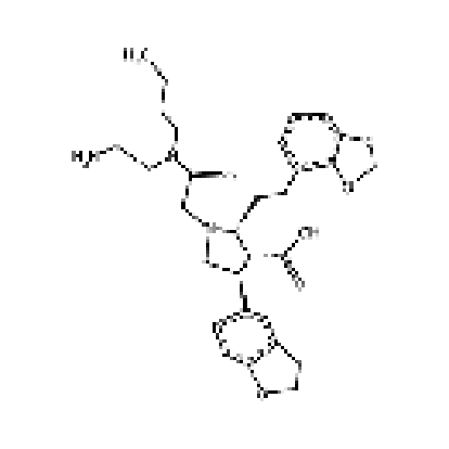 CCCCN(CCN)C(=O)CN1C[C@H](c2ccc3c(c2)CCO3)[C@@H](C(=O)O)[C@@H]1CCc1cccc2c1OCO2